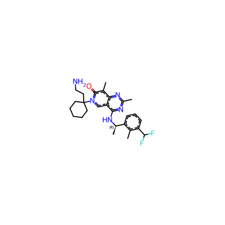 Cc1nc(N[C@H](C)c2cccc(C(F)F)c2C)c2cn(C3(CCN)CCCCC3)c(=O)c(C)c2n1